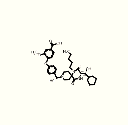 CCCCCN1C(=O)[C@@H]([C@H](O)C2CCCCC2)NC(=O)C12CCN(Cc1ccc(Oc3ccc(C(=O)O)cc3OC)cc1)CC2.Cl